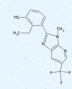 CCc1c(S)cccc1-c1nc2cc(C(F)(F)F)cnc2n1C